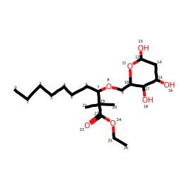 CCCCCCCC(OCC1OC(O)CC(O)C1O)C(C)(C)C(=O)OCC